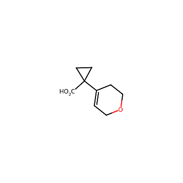 O=C(O)C1(C2=CCOCC2)CC1